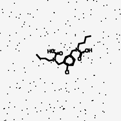 CCCCN(Cc1ccc(Cl)c(CN(CCCC)C(=O)O)c1)C(=O)O